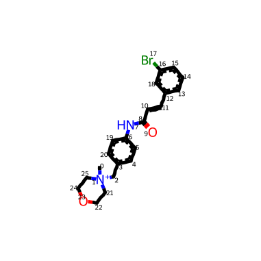 C[N+]1(Cc2ccc(NC(=O)/C=C/c3cccc(Br)c3)cc2)CCOCC1